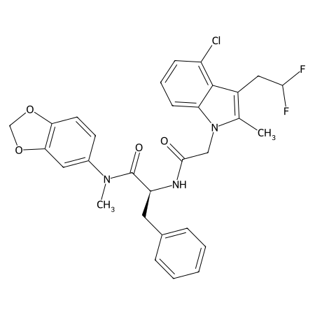 Cc1c(CC(F)F)c2c(Cl)cccc2n1CC(=O)N[C@@H](Cc1ccccc1)C(=O)N(C)c1ccc2c(c1)OCO2